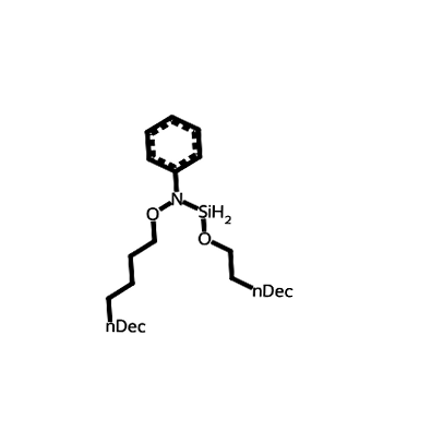 CCCCCCCCCCCCCCON([SiH2]OCCCCCCCCCCCC)c1ccccc1